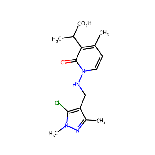 Cc1ccn(NCc2c(C)nn(C)c2Cl)c(=O)c1C(C)C(=O)O